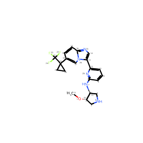 CO[C@H]1CNC[C@@H]1Nc1cccc(-c2cnc3ccc(C4(C(F)(F)F)CC4)cn23)n1